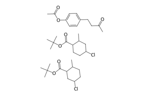 CC(=O)CCc1ccc(OC(C)=O)cc1.CC1CC(Cl)CCC1C(=O)OC(C)(C)C.CC1CCC(Cl)CC1C(=O)OC(C)(C)C